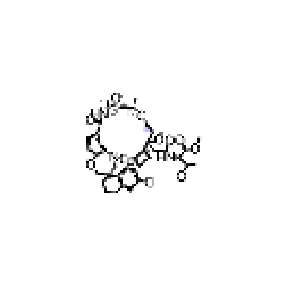 COC(=O)[C@@H](NC(=O)C[C@]1(OC)/C=C/C[C@H](C)[C@@H](C)S(=O)(=O)NC(=O)c2ccc3c(c2)N(C[C@@H]2CC[C@H]21)C[C@@]1(CCCc2cc(Cl)ccc21)CO3)C(C)=O